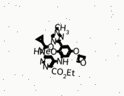 CCOC(=O)c1nnc(NC(=O)C2CC2)cc1Nc1cc(OC2COC2)cc(-c2ncn(C)n2)c1OC